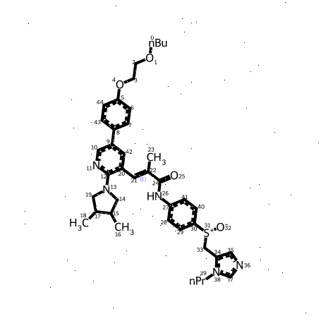 CCCCOCCOc1ccc(-c2cnc(N3CC(C)C(C)C3)c(/C=C(\C)C(=O)Nc3ccc([S+]([O-])Cc4cncn4CCC)cc3)c2)cc1